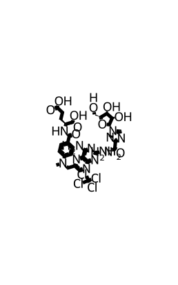 CN(Cc1cnc2nc(N)nc(N)c2n1)c1ccc(C(=O)N[C@@H](CCC(=O)O)C(=O)O)cc1.ClC(Cl)(Cl)Cl.NC(=O)c1ncn([C@@H]2O[C@H](CO)[C@@H](O)[C@H]2O)n1